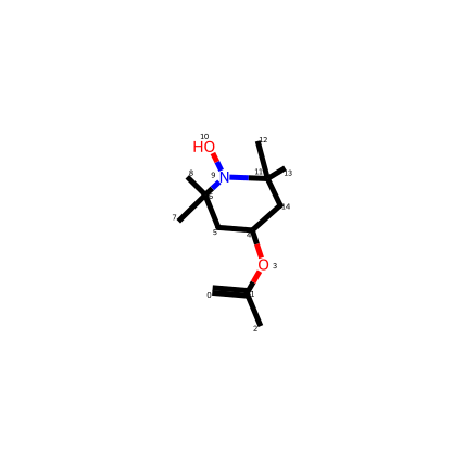 C=C(C)OC1CC(C)(C)N(O)C(C)(C)C1